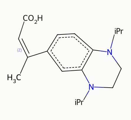 C/C(=C/C(=O)O)c1ccc2c(c1)N(C(C)C)CCN2C(C)C